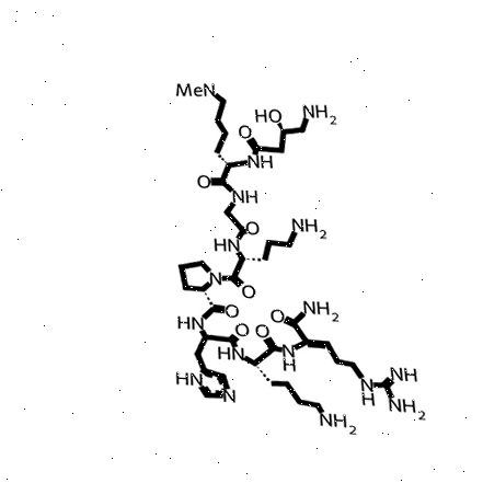 CNCCCC[C@H](NC(=O)C[C@@H](O)CN)C(=O)NCC(=O)N[C@H](CCCN)C(=O)N1CCC[C@H]1C(=O)NC(Cc1cnc[nH]1)C(=O)N[C@@H](CCCCN)C(=O)N/C(=C\CCNC(=N)N)C(N)=O